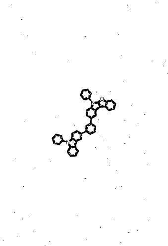 c1ccc(-n2c3ccccc3c3cc(-c4cccc(-c5ccc6c(c5)c5c7ccccc7oc5n6-c5ccccc5)c4)ccc32)cc1